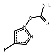 NC(=O)On1cc(I)cn1